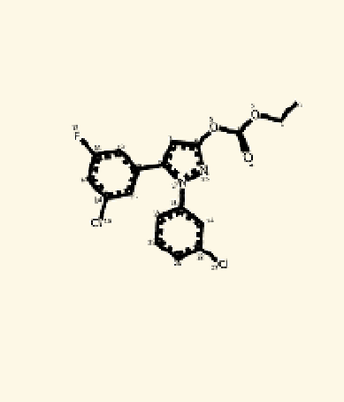 CCOC(=O)Oc1cc(-c2cc(F)cc(Cl)c2)n(-c2cccc(Cl)c2)n1